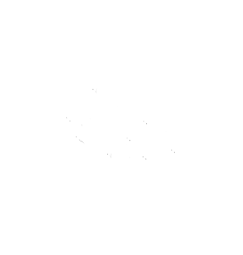 CN1CCN([C@@H]2CCCN(c3cnc(C(N)=O)c(Nc4ccc5c(c4)CNC5)n3)C2)C1=O